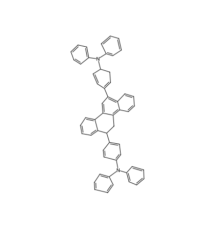 C1=CC(N(c2ccccc2)c2ccccc2)CC=C1c1cc2c(c3ccccc13)CC(c1ccc(N(c3ccccc3)c3ccccc3)cc1)c1ccccc1-2